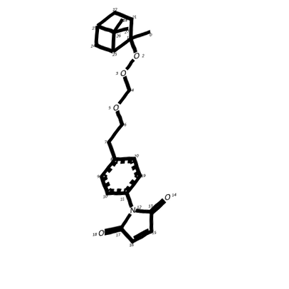 CC1(OOCOCCc2ccc(N3C(=O)C=CC3=O)cc2)CCC2CC1C2(C)C